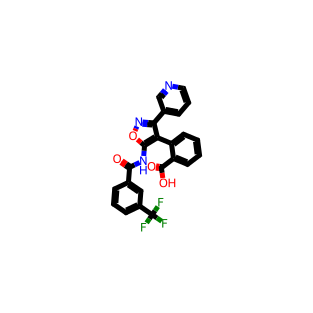 O=C(Nc1onc(-c2cccnc2)c1-c1ccccc1C(=O)O)c1cccc(C(F)(F)F)c1